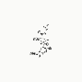 CCCCC(NS(=O)(=O)c1cc(OC)c(Br)cc1Br)C(=O)NC12CCC(C1)C2